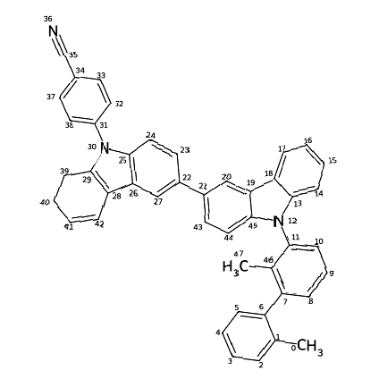 Cc1ccccc1-c1cccc(-n2c3ccccc3c3cc(-c4ccc5c(c4)c4c(n5-c5ccc(C#N)cc5)CCC=C4)ccc32)c1C